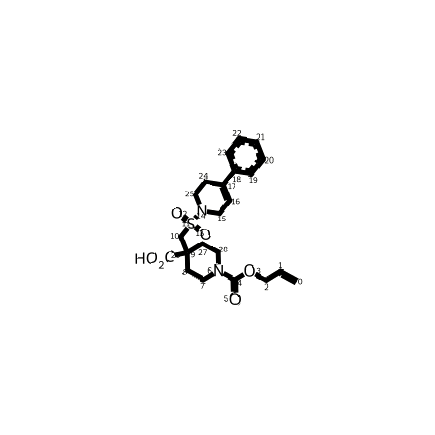 C=CCOC(=O)N1CCC(CS(=O)(=O)N2CC=C(c3ccccc3)CC2)(C(=O)O)CC1